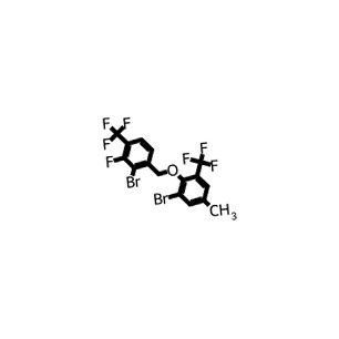 Cc1cc(Br)c(OCc2ccc(C(F)(F)F)c(F)c2Br)c(C(F)(F)F)c1